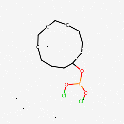 ClOP(OCl)OC1CCCCCCCCCCC1